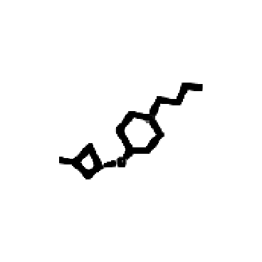 CCCCN1CCC(O[C@H]2C[C@H](C)C2)CC1